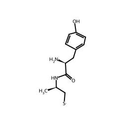 C[C@H](C[S])NC(=O)[C@@H](N)Cc1ccc(O)cc1